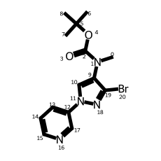 CN(C(=O)OC(C)(C)C)c1cn(-c2cccnc2)nc1Br